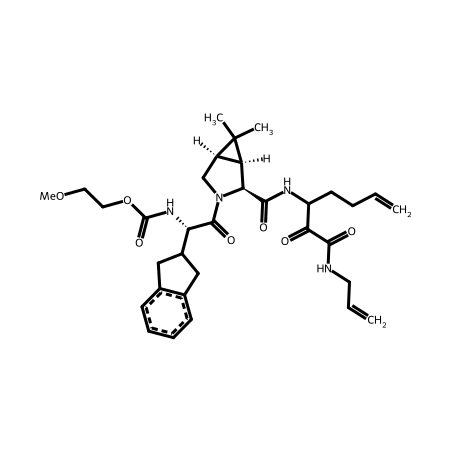 C=CCCC(NC(=O)[C@@H]1[C@H]2[C@@H](CN1C(=O)[C@@H](NC(=O)OCCOC)C1Cc3ccccc3C1)C2(C)C)C(=O)C(=O)NCC=C